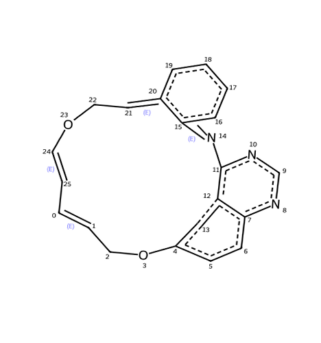 C1=C/COc2ccc3ncnc(c3c2)/N=c2\cccc\c2=C/CO/C=C/1